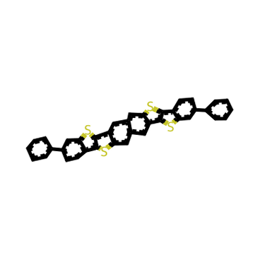 c1ccc(-c2ccc3c(c2)sc2c4cc5cc6sc7c8ccc(-c9ccccc9)cc8sc7c6cc5cc4sc32)cc1